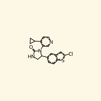 O=C1NCC(c2ccc3sc(Cl)cc3c2)N1c1cnccc1C1CC1